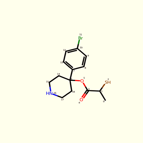 CC(S)C(=O)OC1(c2ccc(Br)cc2)CCNCC1